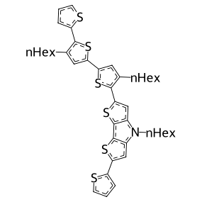 CCCCCCc1cc(-c2cc(CCCCCC)c(-c3cc4c(s3)c3sc(-c5cccs5)cc3n4CCCCCC)s2)sc1-c1cccs1